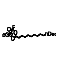 CCCCCCCCCCCCCCCCCCCC(=O)OP(=O)(F)OOC